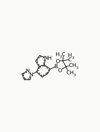 CC1(C)OB(c2ccc(-n3cccn3)c3cc[nH]c23)OC1(C)C